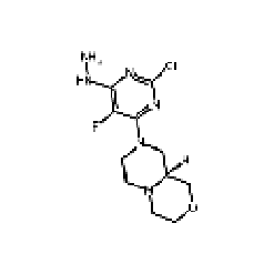 NNc1nc(Cl)nc(N2CCN3CCOC[C@H]3C2)c1F